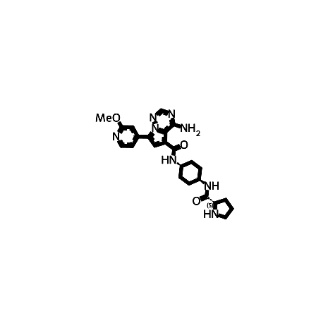 COc1cc(-c2cc(C(=O)N[C@H]3CC[C@H](NC(=O)[C@@H]4CCCN4)CC3)c3c(N)ncnn23)ccn1